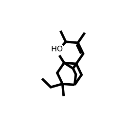 CCC1(C)CC2(C)CCC1CC2C=C(C)C(C)O